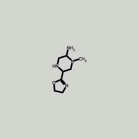 CN1CC(C2=NCCO2)NCC1N